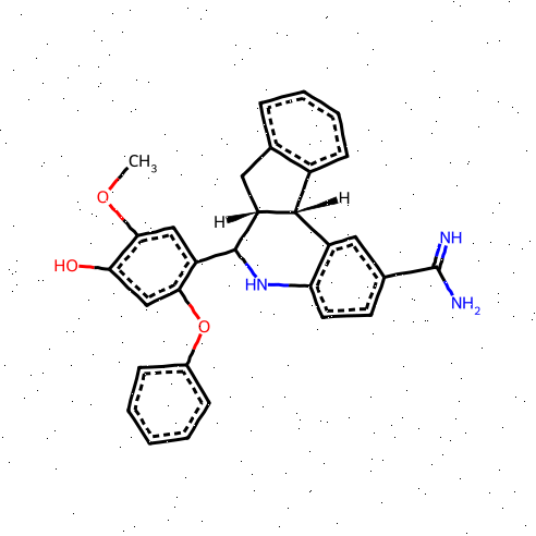 COc1cc(C2Nc3ccc(C(=N)N)cc3[C@H]3c4ccccc4C[C@@H]23)c(Oc2ccccc2)cc1O